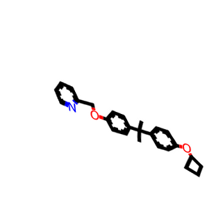 CC(C)(c1ccc(OCc2ccccn2)cc1)c1ccc(OC2CCC2)cc1